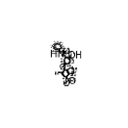 Cc1cc([N+](=O)[O-])c2c(c1Oc1ccc(O)c(C(=O)NC3CCCCC3)c1)CCC2